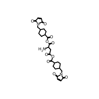 NC(CC(=O)OC(=O)C1CCC(CN2C(=O)C=CC2=O)CC1)C(=O)OC(=O)C1CCC(CN2C(=O)C=CC2=O)CC1